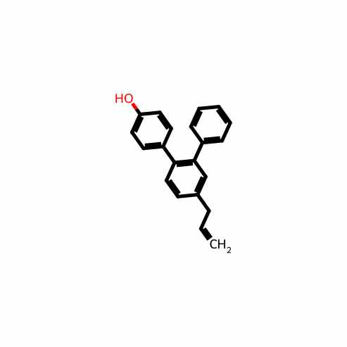 C=CCc1ccc(-c2ccc(O)cc2)c(-c2ccccc2)c1